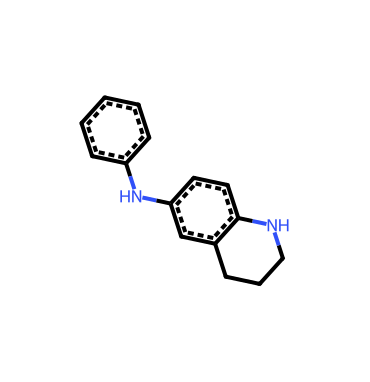 c1ccc(Nc2ccc3c(c2)CCCN3)cc1